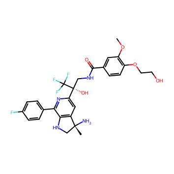 COc1cc(C(=O)NC[C@@](O)(c2cc3c(c(-c4ccc(F)cc4)n2)NC[C@@]3(C)N)C(F)(F)F)ccc1OCCO